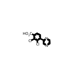 O=C(O)c1ccc(-c2cnccn2)c(Cl)c1Cl